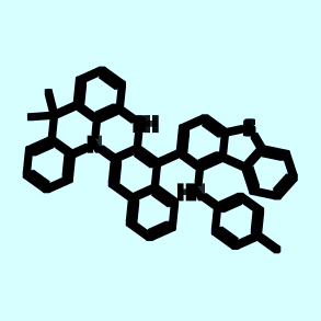 Cc1ccc(Nc2c(-c3c4c(cc5ccccc35)N3c5ccccc5C(C)(C)c5cccc(c53)B4)ccc3sc4ccccc4c23)cc1